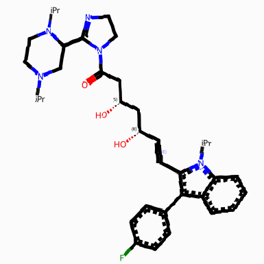 CC(C)N1CCN(C(C)C)C(C2=NCCN2C(=O)C[C@@H](O)C[C@@H](O)/C=C/c2c(-c3ccc(F)cc3)c3ccccc3n2C(C)C)C1